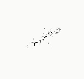 C=C/C(I)=C\N=C/C(=C)N1Cc2nn(-c3cnc(N4CCCC4)c(P)c3)cc2C1=C